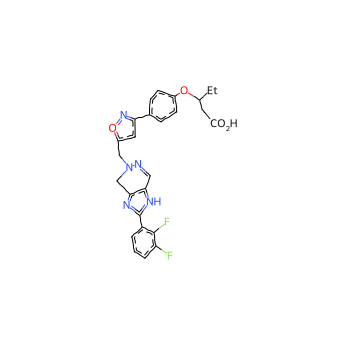 [CH2]CC(CC(=O)O)Oc1ccc(-c2cc(CN3Cc4nc(-c5cccc(F)c5F)[nH]c4C=N3)on2)cc1